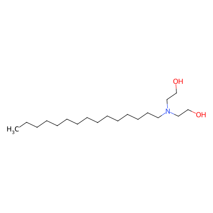 CCCCCCCCCCCCCCCN(CCO)CCO